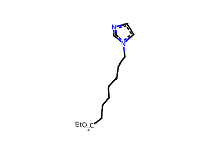 CCOC(=O)CCCCCCCn1c[c]nc1